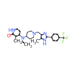 C=CN(c1cc[nH]c(=O)c1C)C1CCN(Cc2nc(-c3ccc(C(F)(F)F)cc3)[nH]c2C)CC1